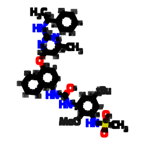 COc1c(NC(=O)Nc2ccc(Oc3cc(C)nc(NC(C)c4ccccc4)n3)c3ccccc23)cc(C(C)(C)C)cc1NS(C)(=O)=O